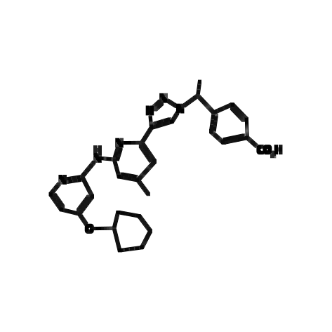 Cc1cc(Nc2cc(OC3CCCCC3)ccn2)nc(-c2cn(C(C)c3ccc(C(=O)O)cc3)nn2)c1